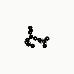 c1ccc(C2=NC(c3ccc(-c4ccc(-c5cc(-c6ccc7c(c6)sc6ccccc67)cc(-c6ccc7ccc8ccc(-c9ccccc9)nc8c7n6)c5)cc4)cc3)NC(c3ccccc3)=N2)cc1